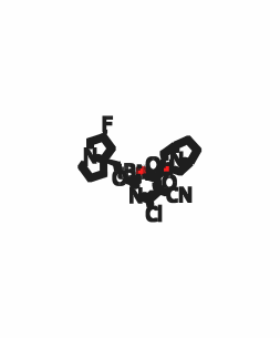 CC(C)(C)OC(=O)N1C2CCC1CN(c1nc(OC[C@@]34CCCN3C[C@H](F)C4)nc(Cl)c1C#N)C2